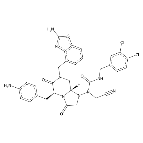 N#CCN(C(=O)NCc1ccc(Cl)c(Cl)c1)N1CC(=O)N2[C@@H](Cc3ccc(N)cc3)C(=O)N(Cc3cccc4sc(N)nc34)C[C@@H]21